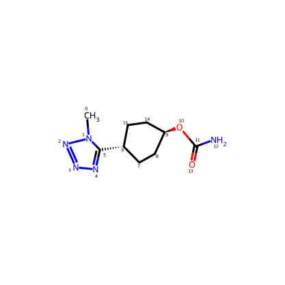 Cn1nnnc1[C@H]1CC[C@H](OC(N)=O)CC1